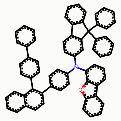 c1ccc(-c2ccc(-c3c(-c4ccc(N(c5ccc6c(c5)C(c5ccccc5)(c5ccccc5)c5ccccc5-6)c5cccc6c5oc5ccccc56)cc4)ccc4ccccc34)cc2)cc1